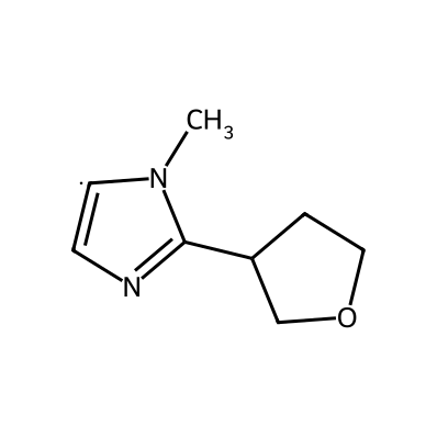 Cn1[c]cnc1C1CCOC1